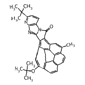 Cc1cc2c3c(=O)n4c5ccc(C(C)(C)C)nc5nc4c3c3cc(OC(C)(C)C)c4ccc5ccc1c1c5c4c3c21